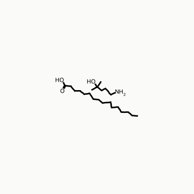 CC(C)(O)CCCN.CCCCCCCCCCCCCCCC(=O)O